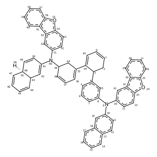 C1=CCC(c2cccc(N(c3ccc4ccccc4c3)c3ccc4oc5ccccc5c4c3)c2)C(C2=CC=CC(N(C3=CC4C=CC=C[C@H]4C=C3)c3ccc4oc5ccccc5c4c3)C2)=C1